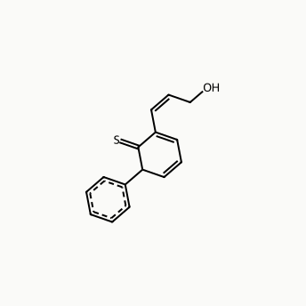 OC/C=C\C1=CC=CC(c2ccccc2)C1=S